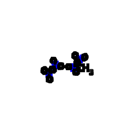 CC1C=CC=CC1N(c1ccc2c(c1)c1c(n2C2=CC=CCC2)CCC=C1)C1C=CC(C2C=CC(N(c3ccc4c(c3)c3ccccc3n4C3C=CC=CC3)C3CC=CCC3)=CC2)CC1